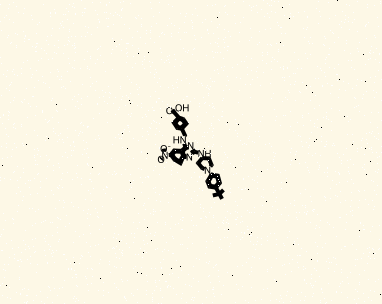 CC(C)(C)c1ccc(N2CCC(Nc3nc(NCc4ccc(C(=O)O)cc4)c4cc([N+](=O)[O-])ccc4n3)CC2)cc1